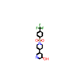 O=S(=O)(c1ccc(C(F)(F)F)cc1)N1CC=C(c2cncc(O)c2)CC1